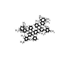 Cc1cc(C)c(-c2cc3c4c(n2)N(c2ccc5c(c2)C(C)(C)CCC5(C)C)c2ccccc2B4c2cc4c(cc2O3)N(c2ccccc2)c2cc(-c3c(C)cc(C)cc3C)nc3c2B4c2ccccc2N3c2ccc3c(c2)C(C)(C)CCC3(C)C)c(C)c1